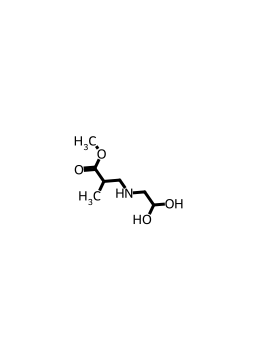 COC(=O)C(C)CNCC(O)O